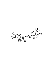 CCCc1c(OCCCN2C(=O)NC(C)(c3ccc4c(c3)OCCO4)C2=O)ccc2c(C(F)(F)F)cc(=O)oc12